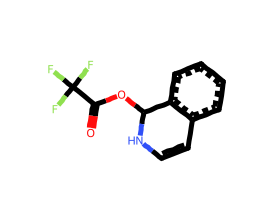 O=C(OC1NC=Cc2ccccc21)C(F)(F)F